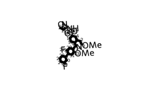 COc1cc2cc(S(=O)(=O)Nc3ccon3)ccc2c(-c2cc(F)c(-c3cccc(F)c3)cc2OC)n1